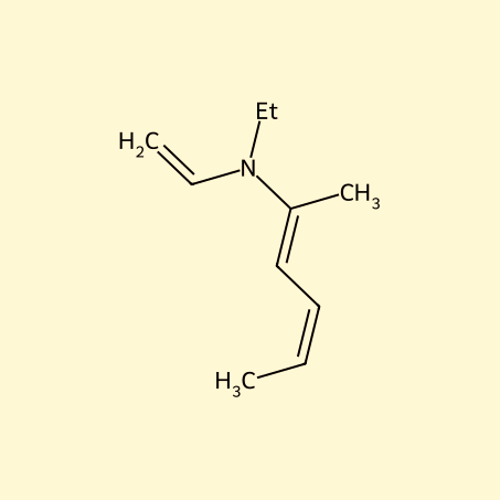 C=CN(CC)/C(C)=C/C=C\C